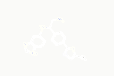 NCC(Nc1ccc2[nH]cnc2c1)c1ccc(-c2nc(C(F)(F)F)cs2)cc1